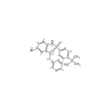 CC(C)(C)c1ccc(S(=O)(=O)Nc2ncc(Br)nc2OCc2ccccc2)cc1